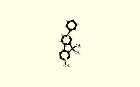 C[n+]1ccc2c(c1)C(C)(C)c1c[n+](-c3ccccc3)ccc1-2